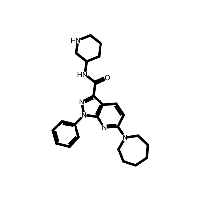 O=C(NC1CCCNC1)c1nn(-c2ccccc2)c2nc(N3CCCCCC3)ccc12